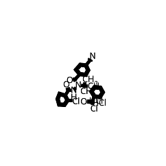 CC(C)(C)N(NC(=O)c1ccccc1Cl)C(=O)c1ccc(C#N)cc1.Cl.Cl.O=C(Cl)c1ccccc1